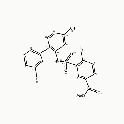 CCc1ccc(C(=O)OC)cc1S(=O)(=O)Nc1cc(C#N)ccc1-c1cccc(F)c1